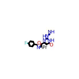 CC(C)c1c(-c2cnc(-c3ccc(F)cc3)o2)[nH]/c(=N/C=N)[nH]c1=O